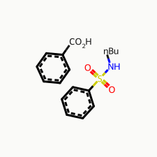 CCCCNS(=O)(=O)c1ccccc1.O=C(O)c1ccccc1